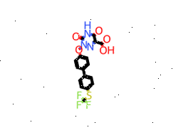 O=C(O)c1nn(Oc2ccc(-c3ccc(SC(F)(F)F)cc3)cc2)c(=O)[nH]c1=O